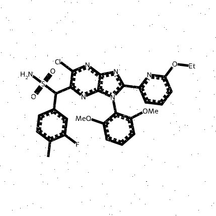 CCOc1cccc(-c2nc3nc(Cl)c(C(c4ccc(C)c(F)c4)S(N)(=O)=O)nc3n2-c2c(OC)cccc2OC)n1